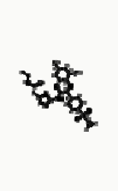 CCOC(=O)Cc1csc(NC(=O)C(Oc2ccc(F)cc2F)c2ccc(S(=O)(=O)C3CC3)cc2)n1